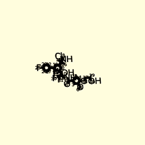 COc1cc(C(=O)NC[C@@](O)(c2cc(C(C)(C)NCl)cc(-c3ccc(F)cc3)n2)C(F)(F)F)ccc1OC[C@@H](C)O